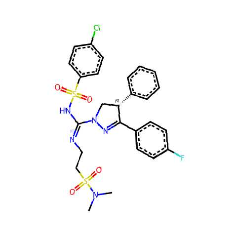 CN(C)S(=O)(=O)CC/N=C(/NS(=O)(=O)c1ccc(Cl)cc1)N1C[C@H](c2ccccc2)C(c2ccc(F)cc2)=N1